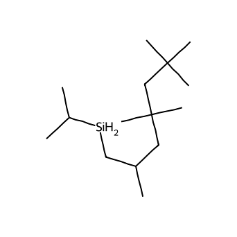 CC(C[SiH2]C(C)C)CC(C)(C)CC(C)(C)C